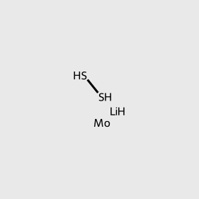 SS.[LiH].[Mo]